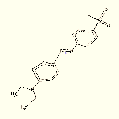 CCN(CC)c1ccc(/N=N/c2ccc(S(=O)(=O)F)cc2)cc1